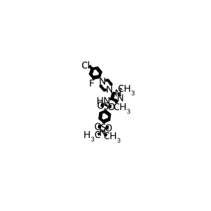 Cc1nn(C)c(N2CCN(c3ccc(Cl)cc3F)CC2)c1NS(=O)(=O)c1ccc(S(=O)(=O)N(C)C)cc1